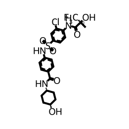 C[C@@](O)(C(=O)Nc1ccc(S(=O)(=O)Nc2ccc(C(=O)N[C@H]3CC[C@H](O)CC3)cc2)cc1Cl)C(F)(F)F